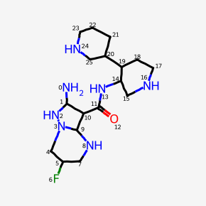 NC1NN2CC(F)CNC2C1C(=O)NC1CNCCC1C1CCCNC1